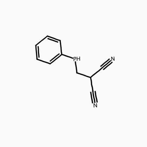 N#CC(C#N)CPc1ccccc1